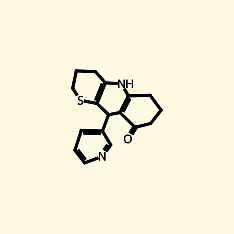 O=C1CCCC2=C1C(c1cccnc1)C1=C(CCCS1)N2